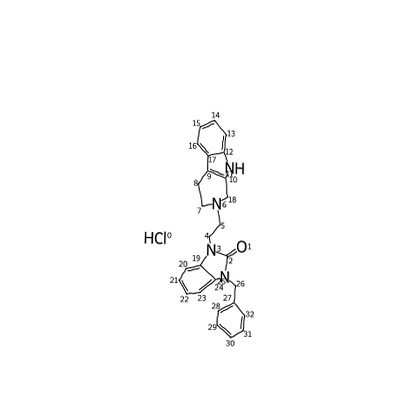 Cl.O=c1n(CCN2CCc3c([nH]c4ccccc34)C2)c2ccccc2n1Cc1ccccc1